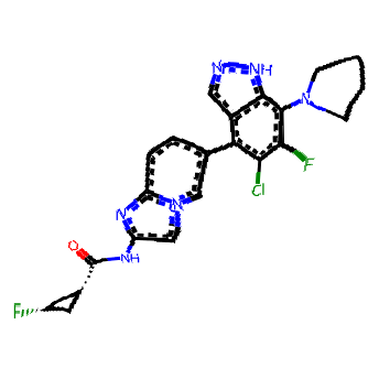 O=C(Nc1cn2cc(-c3c(Cl)c(F)c(N4CCCC4)c4[nH]ncc34)ccc2n1)[C@@H]1C[C@@H]1F